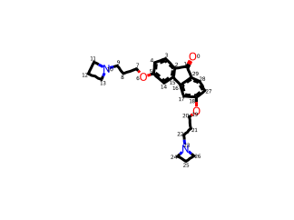 O=C1c2ccc(OCCCN3CCC3)cc2-c2cc(OCCCN3CCC3)ccc21